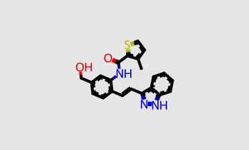 Cc1ccsc1C(=O)Nc1cc(CO)ccc1C=Cc1n[nH]c2ccccc12